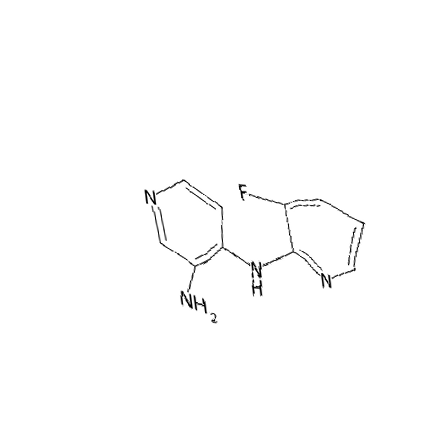 Nc1cnccc1Nc1ncccc1F